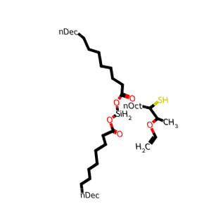 C=COC(C)C(S)CCCCCCCC.CCCCCCCCCCCCCCCCCC(=O)O[SiH2]OC(=O)CCCCCCCCCCCCCCCCC